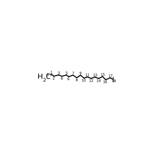 C=CCCCCCCCCCCCCCCCCI